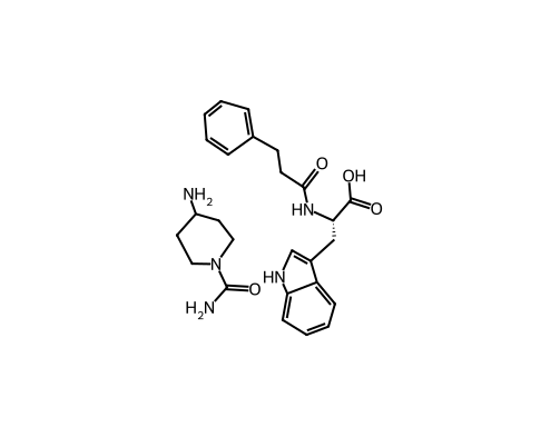 NC(=O)N1CCC(N)CC1.O=C(CCc1ccccc1)N[C@@H](Cc1c[nH]c2ccccc12)C(=O)O